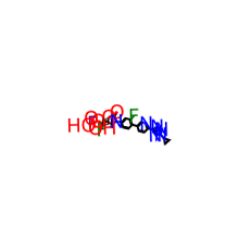 O=C1O[C@H](C(F)OP(=O)(O)O)CN1c1ccc(-c2ccc(-c3nnn(C4CC4)n3)nc2)c(F)c1